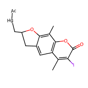 C[C](=O)[Hg][CH2]C1Cc2cc3c(C)c(I)c(=O)oc3c(C)c2O1